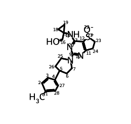 Cc1ccc(C2CCN(c3nc4c(c(NC5(CO)CC5)n3)[S+]([O-])CC4)CC2)cc1